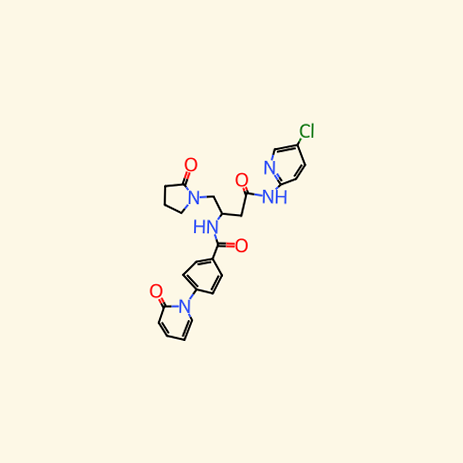 O=C(CC(CN1CCCC1=O)NC(=O)c1ccc(-n2ccccc2=O)cc1)Nc1ccc(Cl)cn1